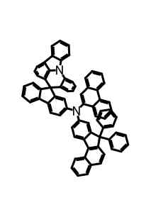 c1ccc(C2(c3ccccc3)c3cc(N(c4ccc5c(c4)C4(c6ccccc6-5)c5ccccc5-n5c6ccccc6c6cccc4c65)c4cc5ccccc5c5ccccc45)ccc3-c3c2ccc2ccccc32)cc1